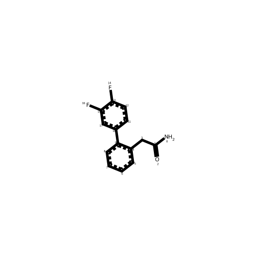 NC(=O)Cc1ccccc1-c1ccc(F)c(F)c1